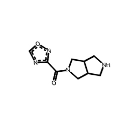 O=C(c1ncon1)N1CC2CNCC2C1